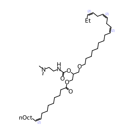 CC/C=C\C/C=C\C/C=C\CCCCCCCCOCC(COC(=O)CCCCCCC/C=C\CCCCCCCC)OC(=O)NCCN(C)C